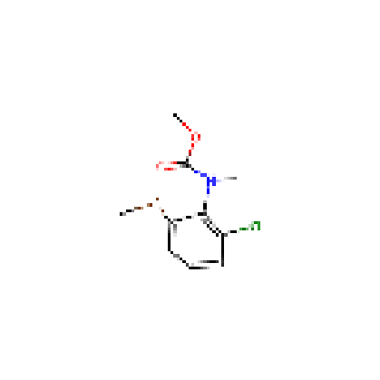 COC(=O)N(C)c1c(Cl)cccc1SC